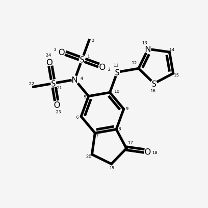 CS(=O)(=O)N(c1cc2c(cc1Sc1nccs1)C(=O)CC2)S(C)(=O)=O